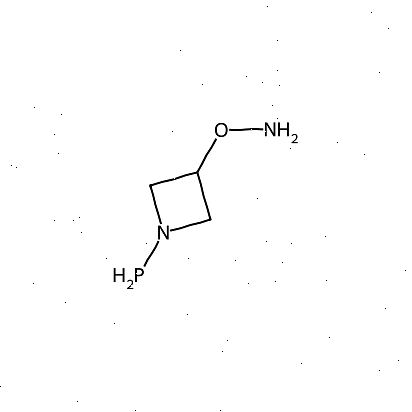 NOC1CN(P)C1